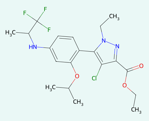 CCOC(=O)c1nn(CC)c(-c2ccc(NC(C)C(F)(F)F)cc2OC(C)C)c1Cl